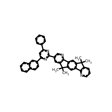 CC1(C)c2cc3c(cc2-c2ncccc21)C(C)(C)c1cc(-c2nc(-c4ccccc4)cc(-c4ccc5ccccc5c4)n2)cnc1-3